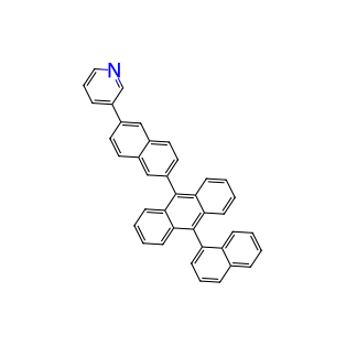 c1cncc(-c2ccc3cc(-c4c5ccccc5c(-c5cccc6ccccc56)c5ccccc45)ccc3c2)c1